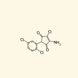 NC1=C(Cl)C(=O)C(c2cc(Cl)ccc2Cl)C1=O